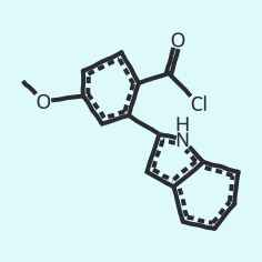 COc1ccc(C(=O)Cl)c(-c2cc3ccccc3[nH]2)c1